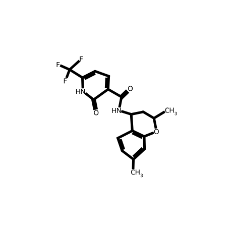 Cc1ccc2c(c1)OC(C)CC2NC(=O)c1ccc(C(F)(F)F)[nH]c1=O